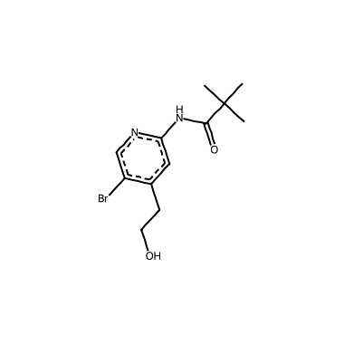 CC(C)(C)C(=O)Nc1cc(CCO)c(Br)cn1